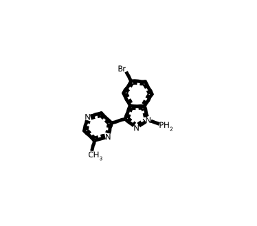 Cc1cncc(-c2nn(P)c3ccc(Br)cc23)n1